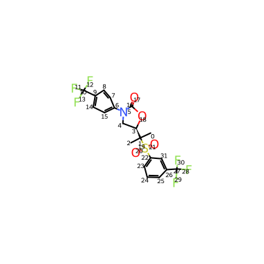 CC(C)([C@H]1CN(c2ccc(C(F)(F)F)cc2)C(=O)O1)S(=O)(=O)c1cccc(C(F)(F)F)c1